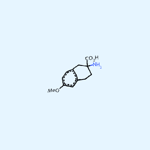 COc1ccc2c(c1)CCC(N)(C(=O)O)C2